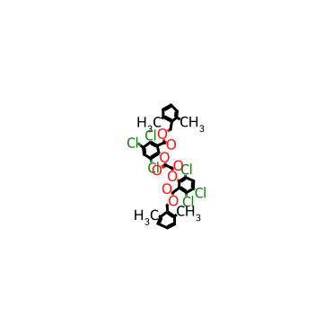 Cc1cccc(C)c1COC(=O)c1c(Cl)c(Cl)cc(Cl)c1OC(=O)C(=O)Oc1c(Cl)cc(Cl)c(Cl)c1C(=O)OCc1c(C)cccc1C